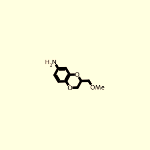 COCC1COc2ccc(N)cc2O1